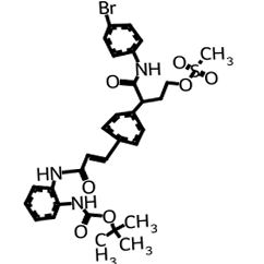 CC(C)(C)OC(=O)Nc1ccccc1NC(=O)C=Cc1ccc(C(CCOS(C)(=O)=O)C(=O)Nc2ccc(Br)cc2)cc1